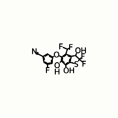 N#Cc1cc(F)cc(Oc2c(O)c(O)c3c(c2C(F)F)C(O)C(F)(F)S3)c1